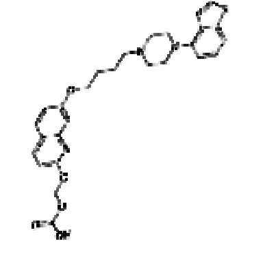 O=C(O)OCOc1ccc2ccc(OCCCCN3CCN(c4cccc5sccc45)CC3)cc2n1